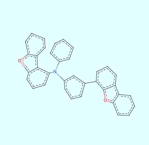 c1ccc(N(c2cccc(-c3cccc4c3oc3ccccc34)c2)c2cccc3oc4ccccc4c23)cc1